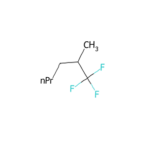 [CH2]CCCC(C)C(F)(F)F